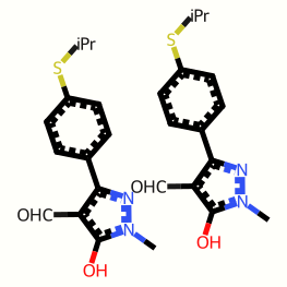 CC(C)Sc1ccc(-c2nn(C)c(O)c2C=O)cc1.CC(C)Sc1ccc(-c2nn(C)c(O)c2C=O)cc1